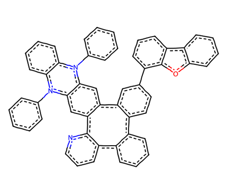 c1ccc(-n2c3ccccc3n(-c3ccccc3)c3cc4c(cc32)c2cc(-c3cccc5c3oc3ccccc35)ccc2c2ccccc2c2cccnc24)cc1